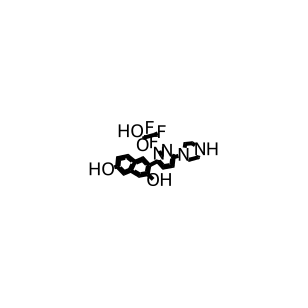 O=C(O)C(F)(F)F.Oc1ccc2cc(-c3ccc(N4CCNCC4)nn3)c(O)cc2c1